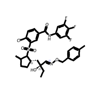 CC[C@@](O)(/C=N/OCc1ccc(C)cc1)C[C@@H]1CCC(C)C1S(=O)(=O)c1cc(C(=O)Nc2cc(F)c(F)c(F)c2)ccc1Cl